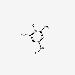 CCNc1cc(C)[n+]([O-])c(N)c1